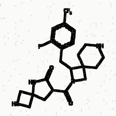 O=C1NC2(CNC2)CC1C(=O)N1CC2(CCNCC2)C1Cc1ccc(C(F)(F)F)cc1F